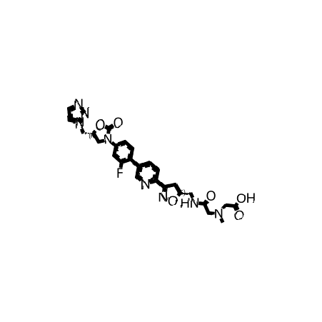 CN(CC(=O)O)CC(=O)NC[C@@H]1CC(c2ccc(-c3ccc(N4C[C@H](Cn5ccnn5)OC4=O)cc3F)cn2)=NO1